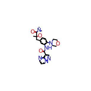 CN(C)C(=O)C1(C)Cc2cc(NC(=O)c3cnn4cccnc34)c(N3CCOCC3)cc2O1